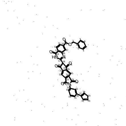 O=C(OCc1ccccc1)c1ccc2c(=O)[nH]c(C3C(=O)c4cc5c(cc4C3=O)C(=O)N(c3cccc(C4=CCC=C4)c3)C5=O)nc2c1